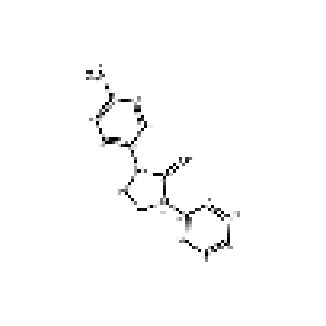 O=C1N(c2ccc([N+](=O)[O-])cc2)CCN1c1cccnc1